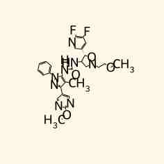 COCCN1CC(NC(=O)Nc2c(C)c(-c3cnc(OC)nc3)nn2-c2ccccc2)[C@H](c2cnc(F)c(F)c2)O1